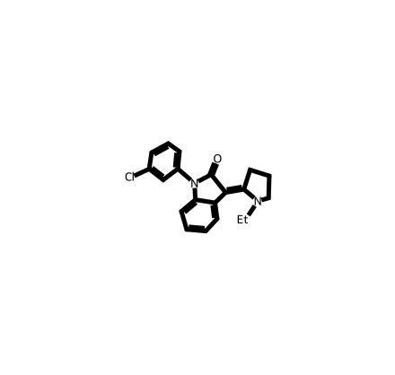 CCN1CCCC1=C1C(=O)N(c2cccc(Cl)c2)c2ccccc21